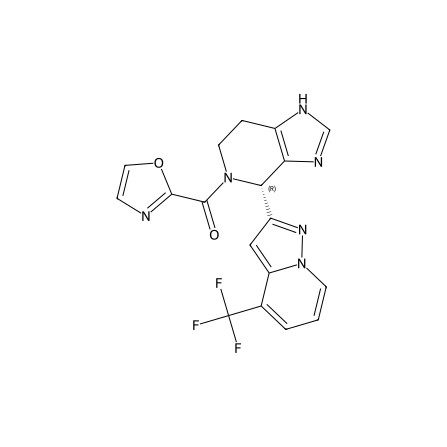 O=C(c1ncco1)N1CCc2[nH]cnc2[C@@H]1c1cc2c(C(F)(F)F)cccn2n1